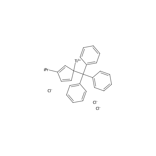 CC(C)C1=C[C]([Ti+3])(C(c2ccccc2)(c2ccccc2)c2ccccc2)C=C1.[Cl-].[Cl-].[Cl-]